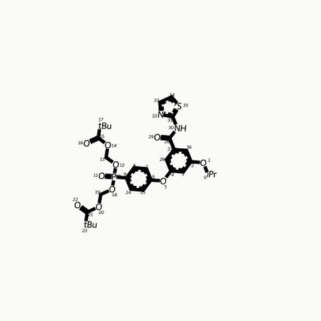 CC(C)Oc1cc(Oc2ccc(P(=O)(OCOC(=O)C(C)(C)C)OCOC(=O)C(C)(C)C)cc2)cc(C(=O)Nc2nccs2)c1